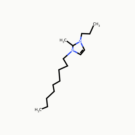 CCCCCCCCCN1C=CN(CCC)C1C